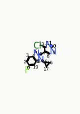 Fc1ccc2nc(-c3cncnc3Cl)n(C3CC3)c2c1